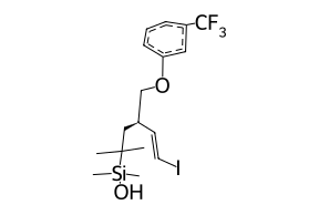 CC(C)(C[C@H](/C=C/I)COc1cccc(C(F)(F)F)c1)[Si](C)(C)O